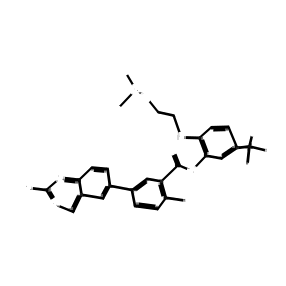 CN(C)CCCNc1ccc(C(F)(F)F)cc1NC(=O)c1cc(-c2ccc3nc(N)ncc3c2)ccc1F